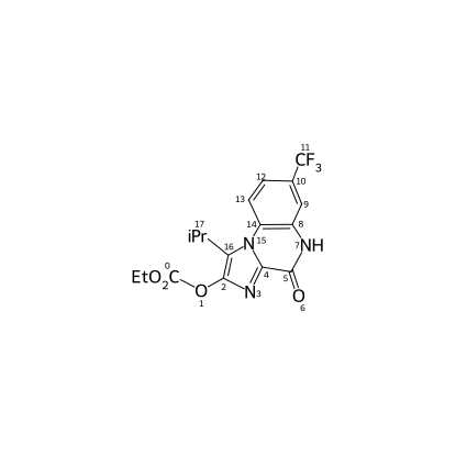 CCOC(=O)Oc1nc2c(=O)[nH]c3cc(C(F)(F)F)ccc3n2c1C(C)C